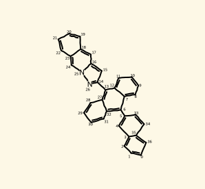 c1ccc2cc(-c3c4ccccc4c(-c4cc5cc6ccccc6cn5n4)c4ccccc34)ccc2c1